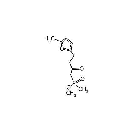 COP(C)(=O)CC(=O)CCc1ccc(C)o1